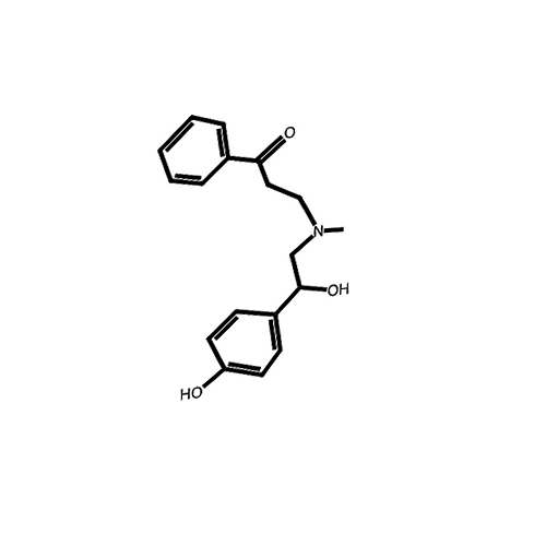 CN(CCC(=O)c1ccccc1)CC(O)c1ccc(O)cc1